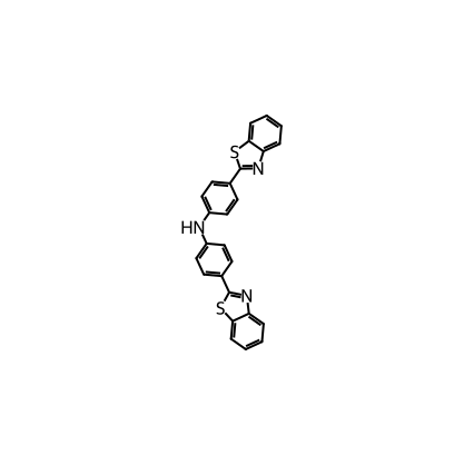 c1ccc2sc(-c3ccc(Nc4ccc(-c5nc6ccccc6s5)cc4)cc3)nc2c1